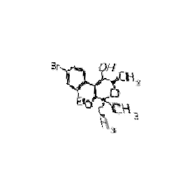 C=C1OC(C)(C)C(=O)C(c2ccc(Br)cc2CC)=C1O